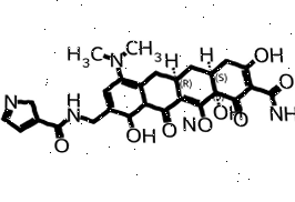 CN(C)C1=C2C[C@H]3C[C@H]4CC(O)=C(C(N)=O)C(=O)[C@@]4(O)C(N=O)=C3C(=O)C2C(O)C(CNC(=O)C2=CC=NC2)=C1